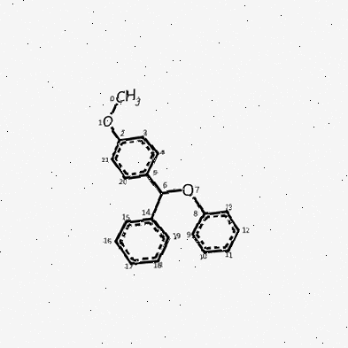 COc1ccc(C(Oc2[c]cccc2)c2ccccc2)cc1